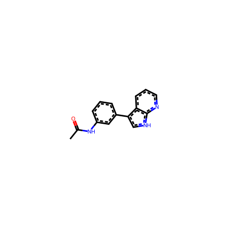 CC(=O)Nc1cccc(-c2c[nH]c3ncccc23)c1